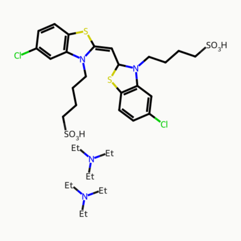 CCN(CC)CC.CCN(CC)CC.O=S(=O)(O)CCCCN1C(=CC2Sc3ccc(Cl)cc3N2CCCCS(=O)(=O)O)Sc2ccc(Cl)cc21